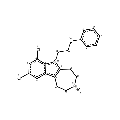 Cl.Clc1cc(Cl)c2c(c1)c1c(n2CCOc2ccccc2)CCNCC1